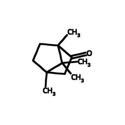 CC12CCC(C)(C(=O)C1)C2(C)C